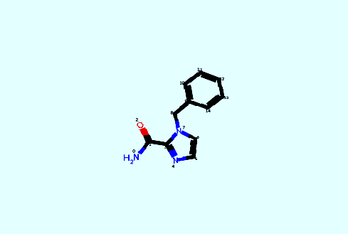 NC(=O)c1nccn1Cc1ccccc1